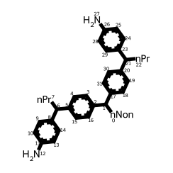 CCCCCCCCCC(c1ccc(C(CCC)c2ccc(N)cc2)cc1)c1ccc(C(CCC)c2ccc(N)cc2)cc1